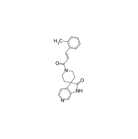 Cc1ccccc1/C=C/C(=O)N1CCC2(CC1)C(=O)Nc1cnccc12